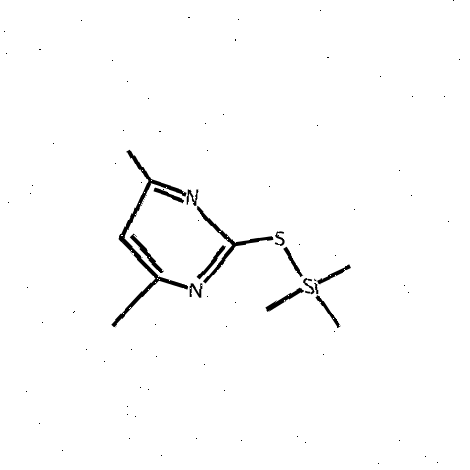 Cc1cc(C)nc(S[Si](C)(C)C)n1